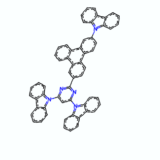 c1ccc2c(c1)c1cc(-c3nc(-n4c5ccccc5c5ccccc54)cc(-n4c5ccccc5c5ccccc54)n3)ccc1c1ccc(-n3c4ccccc4c4ccccc43)cc21